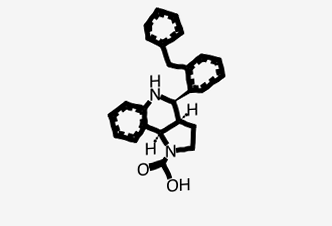 O=C(O)N1CC[C@@H]2[C@H](c3ccccc3Cc3ccccc3)Nc3ccccc3[C@@H]21